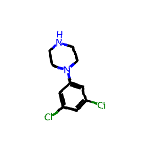 Clc1cc(Cl)cc(N2CCNCC2)c1